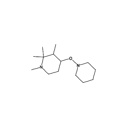 CC1C(ON2CCCCC2)CCN(C)C1(C)C